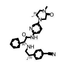 C[C@H](CN[C@@H](C(=O)Nc1ccc(N2CC(=O)N(C)C[C@H]2C)cn1)c1ccccc1)c1ccc(C#N)cc1